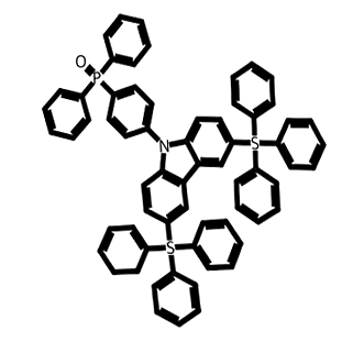 O=P(c1ccccc1)(c1ccccc1)c1ccc(-n2c3ccc(S(C4=CC=CCC4)(c4ccccc4)c4ccccc4)cc3c3cc(S(c4ccccc4)(c4ccccc4)c4ccccc4)ccc32)cc1